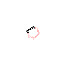 b1bbccb1